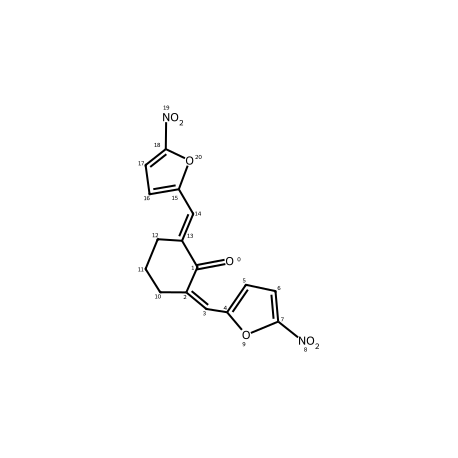 O=C1/C(=C\c2ccc([N+](=O)[O-])o2)CCC/C1=C\c1ccc([N+](=O)[O-])o1